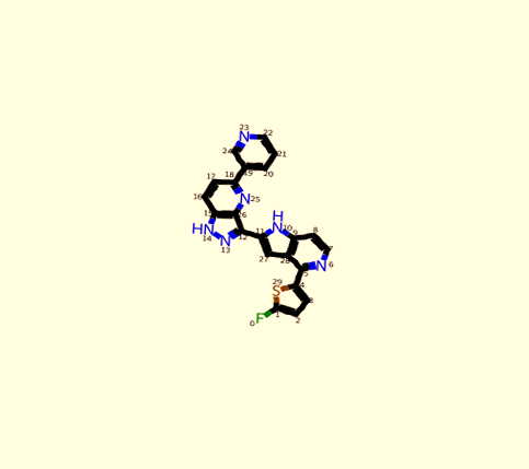 Fc1ccc(-c2nccc3[nH]c(-c4n[nH]c5ccc(-c6cccnc6)nc45)cc23)s1